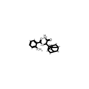 Cc1ccccc1C(=O)OC(C(N)=O)C1C2CC3CC(C2)CC1C3